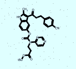 Cc1[nH]c2ccc(OC(=O)N(CCC(=O)OC(C)(C)C)c3ccncn3)cc2c1C(=O)CCc1ccc(C#N)cc1